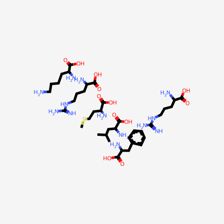 CC(C)CC(N)C(=O)O.CSCCC(N)C(=O)O.N=C(N)NCCCC(N)C(=O)O.N=C(N)NCCCC(N)C(=O)O.NC(Cc1ccccc1)C(=O)O.NCCCCC(N)C(=O)O